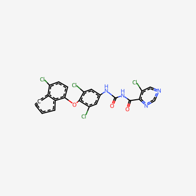 O=C(NC(=O)c1ncncc1Cl)Nc1cc(Cl)c(Oc2ccc(Cl)c3ccccc23)c(Cl)c1